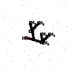 C=C(OCCCCCCN(CCCCCCO)CCCCCCOC(=O)C(CCCCCC)CCCCCCCC)C(CCCCCC)CCCCCCCC